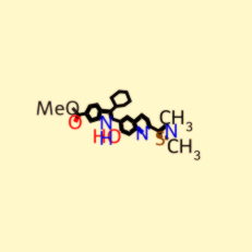 COC(=O)c1ccc2c(C3CCCCC3)c(-c3cc4ccc(-c5sc(C)nc5C)nc4cc3O)[nH]c2c1